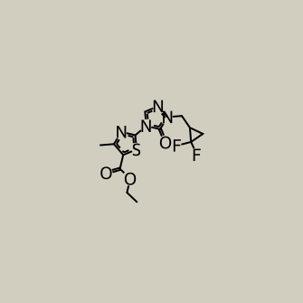 CCOC(=O)c1sc(-n2cnn(CC3CC3(F)F)c2=O)nc1C